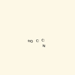 [C].[C].[N].[OH]